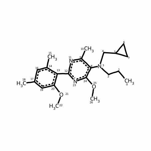 CCCN(CC1CC1)c1c(C)nc(-c2c(C)cc(C)cc2OC)nc1OC